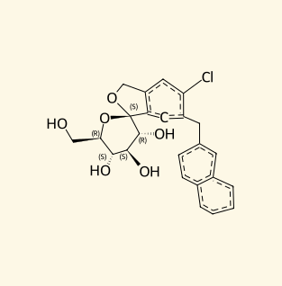 OC[C@H]1O[C@]2(OCc3cc(Cl)c(Cc4ccc5ccccc5c4)cc32)[C@H](O)[C@@H](O)[C@@H]1O